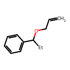 [CH2]CC(OCC=C)c1ccccc1